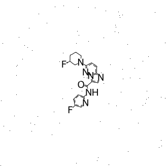 O=C(Nc1ccc(F)cn1)c1cnc2ccc(N3CCC[C@H](F)C3)nn12